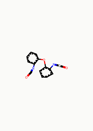 O=C=Nc1ccccc1Oc1ccccc1N=C=O